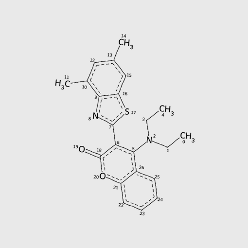 CCN(CC)c1c(-c2nc3c(C)cc(C)cc3s2)c(=O)oc2ccccc12